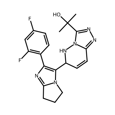 CC(C)(O)c1nnc2n1NC(c1c(-c3ccc(F)cc3F)nc3n1CCC3)C=C2